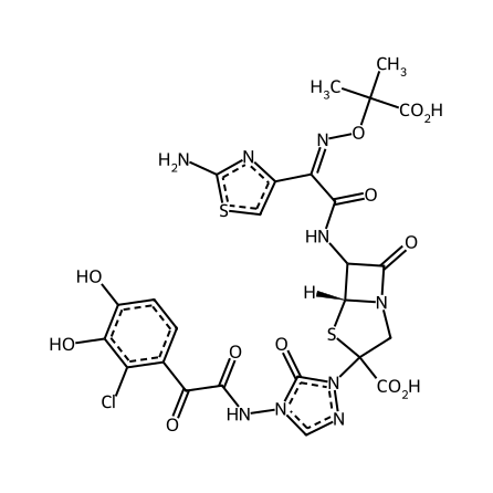 CC(C)(O/N=C(\C(=O)NC1C(=O)N2CC(C(=O)O)(n3ncn(NC(=O)C(=O)c4ccc(O)c(O)c4Cl)c3=O)S[C@H]12)c1csc(N)n1)C(=O)O